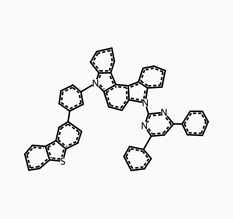 c1ccc(-c2cc(-c3ccccc3)nc(-n3c4ccccc4c4c5c6ccccc6n(-c6cccc(-c7ccc8sc9ccccc9c8c7)c6)c5ccc43)n2)cc1